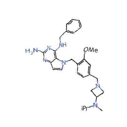 COc1cc(CN2CC(N(C)C(C)C)C2)ccc1Cn1ccc2nc(N)nc(NCc3ccccc3)c21